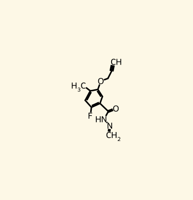 C#CCOc1cc(C(=O)NN=C)c(F)cc1C